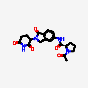 CC(=O)N1CCC[C@H]1C(=O)Nc1ccc2c(c1)CN(C1CCC(=O)NC1=O)C2=O